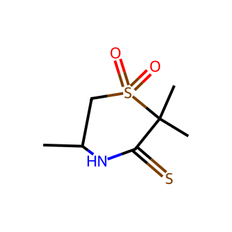 CC1CS(=O)(=O)C(C)(C)C(=S)N1